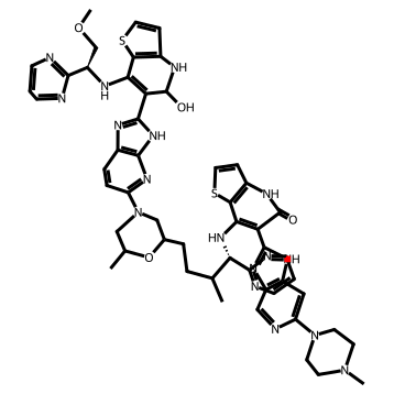 COC[C@@H](NC1=C(c2nc3ccc(N4CC(C)OC(CCC(C)[C@H](Nc5c(-c6nc7cnc(N8CCN(C)CC8)cc7[nH]6)c(=O)[nH]c6ccsc56)c5ncccn5)C4)nc3[nH]2)C(O)Nc2ccsc21)c1ncccn1